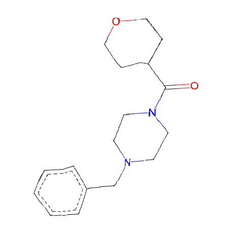 O=C(C1CCOCC1)N1CCN(Cc2ccccc2)CC1